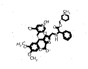 COc1ccc([C@H](Cc2c(Cl)c[n+](O)cc2Cl)c2cc(CNC(C(=O)OC[C@H]3CCCN(C)C3)c3ccccc3)sc2C(=O)[O-])cc1OC